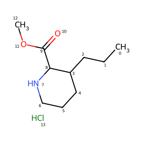 CCCC1CCCNC1C(=O)OC.Cl